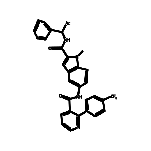 CC(=O)C(NC(=O)c1cc2cc(NC(=O)c3cccnc3-c3ccc(C(F)(F)F)cc3)ccc2n1C)c1ccccc1